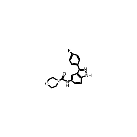 O=C(Nc1ccc2[nH]nc(-c3ccc(F)cc3)c2c1)N1CCOCC1